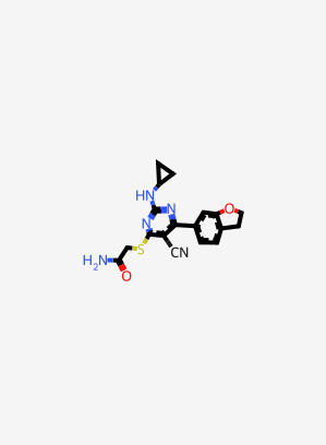 N#Cc1c(SCC(N)=O)nc(NC2CC2)nc1-c1ccc2c(c1)OCC2